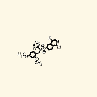 COc1ccc(CN(c2ncns2)S(=O)(=O)c2ccc3c(Cl)ncc(F)c3c2)c(OC)c1